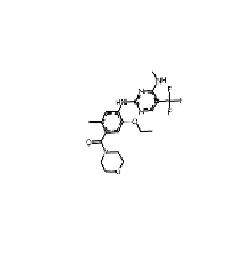 CCOc1cc(C(=O)N2CCOCC2)c(C)cc1Nc1ncc(C(F)(F)F)c(NC)n1